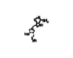 CCCSC[C@H]1CN(Cc2c[nH]c3c(N)ncnc23)CC1O